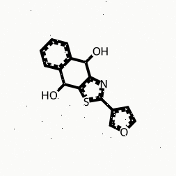 OC1c2ccccc2C(O)c2sc(-c3ccoc3)nc21